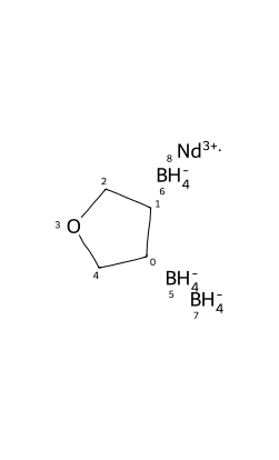 C1CCOC1.[BH4-].[BH4-].[BH4-].[Nd+3]